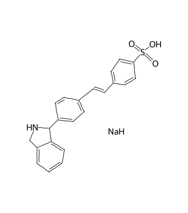 O=S(=O)(O)c1ccc(C=Cc2ccc(C3NCc4ccccc43)cc2)cc1.[NaH]